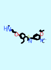 [C-]#[N+]c1cc(-c2ncc(-c3ccc(OCCCNC)cc3CC)s2)ccc1OC(C)C